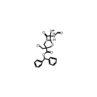 COC1(NC=O)C(=O)N2CC(CCl)(C(=O)OC(c3ccccc3)c3ccccc3)CS[C@@H]21